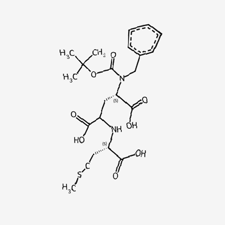 CSCC[C@H](NC(C[C@@H](C(=O)O)N(Cc1ccccc1)C(=O)OC(C)(C)C)C(=O)O)C(=O)O